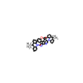 CC1(C)c2ccccc2N(c2cnc3c(c2)C2(c4ccccc4Oc4ccccc42)c2cc(N4c5ccccc5C(C)(C)c5ccccc54)cnc2-3)c2ccccc21